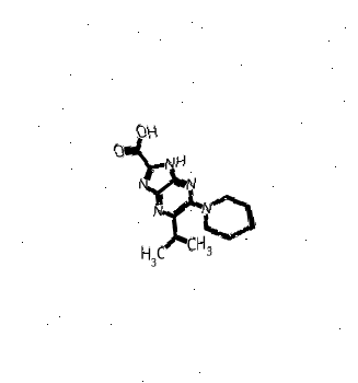 CC(C)c1nc2nc(C(=O)O)[nH]c2nc1N1CCCCC1